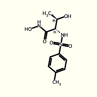 Cc1ccc(S(=O)(=O)N[C@H](C(=O)NO)[C@@H](C)O)cc1